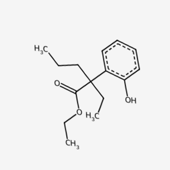 CCCC(CC)(C(=O)OCC)c1ccccc1O